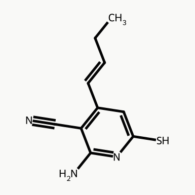 CC/C=C/c1cc(S)nc(N)c1C#N